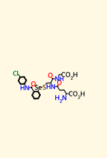 NC(CCC(=O)NC(CS[Se]c1ccccc1C(=O)Nc1ccc(Cl)cc1)C(=O)NCC(=O)O)C(=O)O